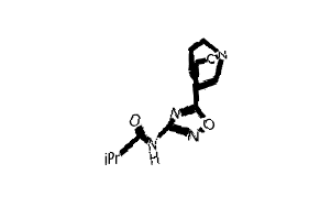 CC(C)C(=O)Nc1noc(C2CN3CCC2CC3)n1